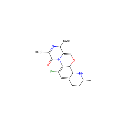 CNC1N=C(C(=O)O)C(=O)N2C1=COC1C2=C(F)C=C2CCC(C)NC21